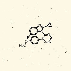 COc1ccc(N2CN=CN=C2n2c(C3CC3)nc3ccc(F)cc32)cc1